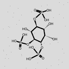 O=P(O)(O)O[C@H]1[C@H](O)[C@H](O)[C@H](OP(=O)(O)O)[C@@H](OP(=O)(O)O)[C@@H]1O